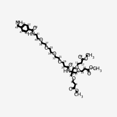 COC(=O)CCOCC(COCCC(=O)OC)(COCCC(=O)OC)NC(=O)CCOCCOCCOCCOCCNC(=O)c1ccc(C=N)cc1